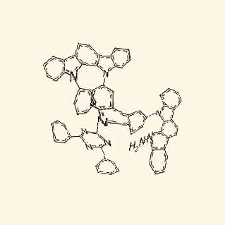 Nn1c2ccccc2c2ccc3c4ccccc4n(-c4ccc5c(c4)c4cc(-n6c7ccccc7c7ccc8c9ccccc9n(-c9ccccc9)c8c76)ccc4n5-c4nc(-c5ccccc5)nc(-c5ccccc5)n4)c3c21